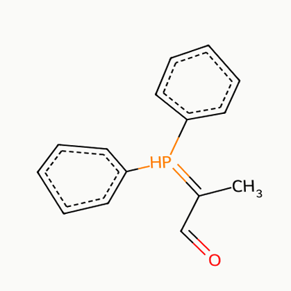 CC(C=O)=[PH](c1ccccc1)c1ccccc1